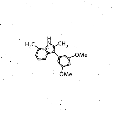 COc1cc(OC)nc(-c2c(C)[nH]c3c(C)cccc23)c1